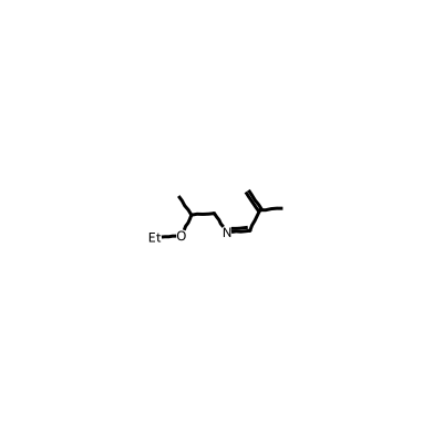 C=C(C)/C=N\CC(C)OCC